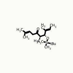 C/C=C(\C)[C@H](O[Si](C)(C)C(C)(C)C)[C@@H](C)C(=O)CC=C(C)C